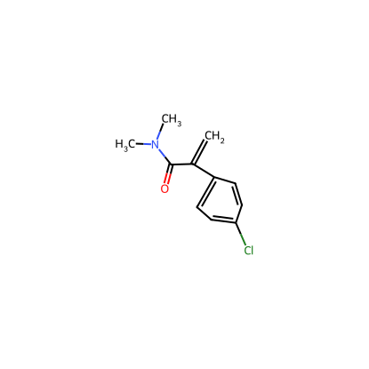 C=C(C(=O)N(C)C)c1ccc(Cl)cc1